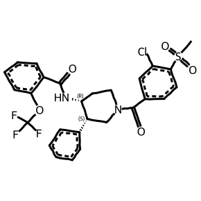 CS(=O)(=O)c1ccc(C(=O)N2CC[C@@H](NC(=O)c3ccccc3OC(F)(F)F)[C@@H](c3ccccc3)C2)cc1Cl